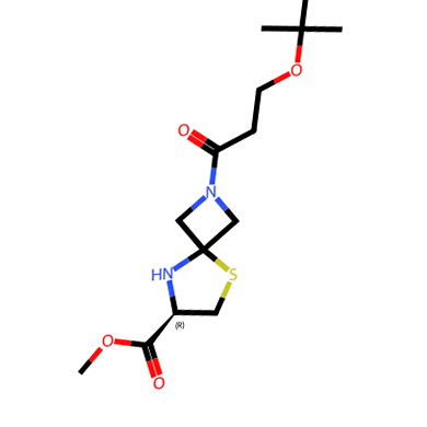 COC(=O)[C@@H]1CSC2(CN(C(=O)CCOC(C)(C)C)C2)N1